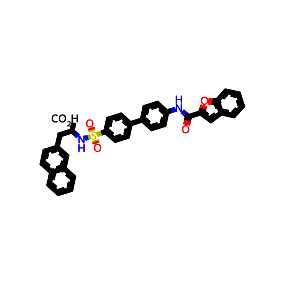 O=C(Nc1ccc(-c2ccc(S(=O)(=O)NC(Cc3ccc4ccccc4c3)C(=O)O)cc2)cc1)c1cc2ccccc2o1